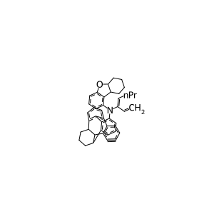 C=C/C(=C\CCC)N(c1cccc2c1-c1c3cccc1C1CCCC2C1c1c#cccc1-3)c1cccc2c1C1CCCCC1O2